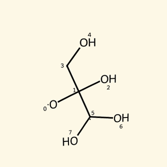 [O]C(O)(CO)[C](O)O